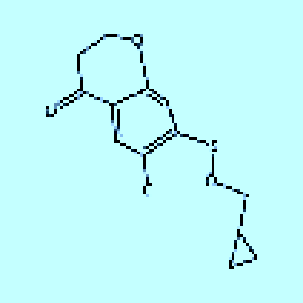 O=C1CCOc2cc(SOCC3CC3)c(Cl)cc21